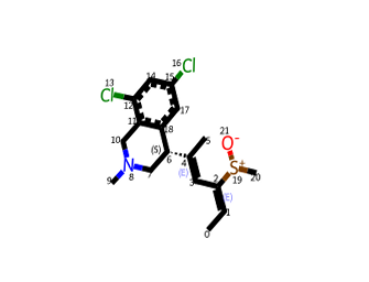 C/C=C(\C=C(/C)[C@@H]1CN(C)Cc2c(Cl)cc(Cl)cc21)[S+](C)[O-]